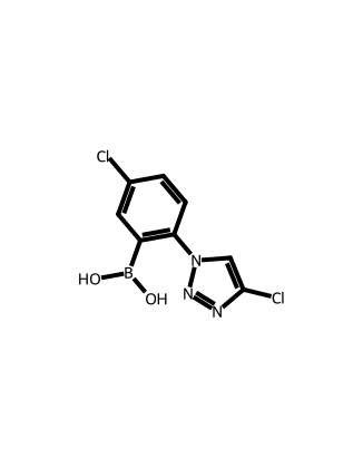 OB(O)c1cc(Cl)ccc1-n1cc(Cl)nn1